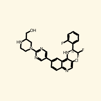 OCC1CN(c2ncc(-c3ccc4ncc(Cl)c(N[C@@H](c5ccccc5F)C(F)F)c4c3)cn2)CCN1